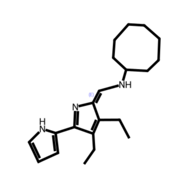 CCC1=C(CC)/C(=C\NC2CCCCCCC2)N=C1c1ccc[nH]1